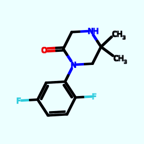 CC1(C)CN(c2cc(F)ccc2F)C(=O)CN1